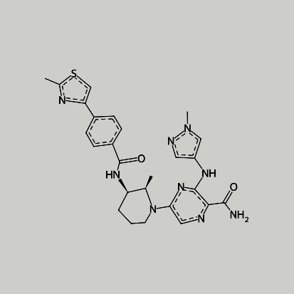 Cc1nc(-c2ccc(C(=O)N[C@@H]3CCCN(c4cnc(C(N)=O)c(Nc5cnn(C)c5)n4)[C@@H]3C)cc2)cs1